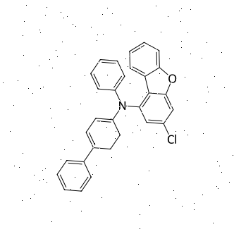 Clc1cc(N(C2=CC=C(c3ccccc3)CC2)c2ccccc2)c2c(c1)oc1ccccc12